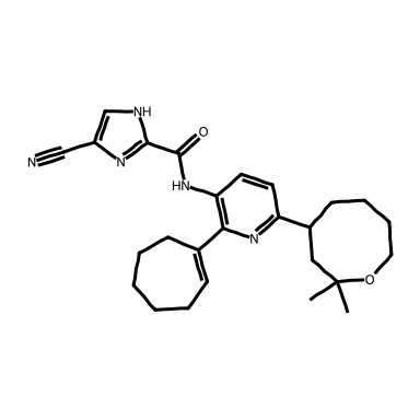 CC1(C)CC(c2ccc(NC(=O)c3nc(C#N)c[nH]3)c(C3=CCCCCC3)n2)CCCCO1